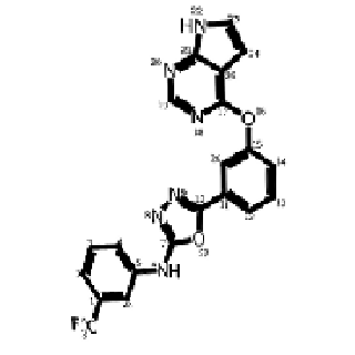 FC(F)(F)c1cccc(Nc2nnc(-c3cccc(Oc4ncnc5[nH]ccc45)c3)o2)c1